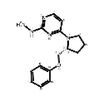 NNc1nccc(N2CCC[C@@H]2COc2ccccc2)n1